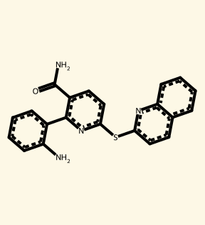 NC(=O)c1ccc(Sc2ccc3ccccc3n2)nc1-c1ccccc1N